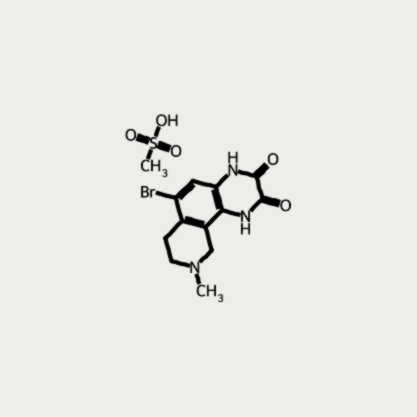 CN1CCc2c(Br)cc3[nH]c(=O)c(=O)[nH]c3c2C1.CS(=O)(=O)O